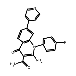 NC(=O)c1c(N)n(-c2ccc(F)cc2)c2cc(-c3ccncc3)ccc2c1=O